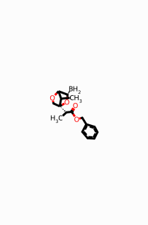 B[C@@H]1O[C@@]2(C(C)C(=O)OCc3ccccc3)COC1C2C